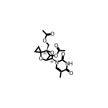 CC(=O)OC[C@]12O[C@@H](n3cc(C)c(=O)[nH]c3=O)C(OC13CC3)C2OC(C)=O